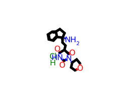 Cl.N[C@]1(CCC2C(=O)NC(=O)N(C3CCOCC3)C2=O)CCc2ccccc21